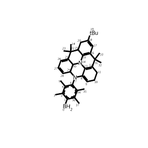 Bc1c(C)c(C)c(N2C3=CCCC4=C3N3C5=C(C=C(C(C)(C)C)CC5C(C)(C)C5=CC=CC2C53)C4(C)C)c(C)c1C